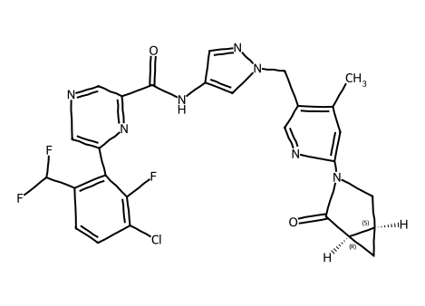 Cc1cc(N2C[C@H]3C[C@H]3C2=O)ncc1Cn1cc(NC(=O)c2cncc(-c3c(C(F)F)ccc(Cl)c3F)n2)cn1